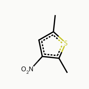 Cc1cc([N+](=O)[O-])c(C)s1